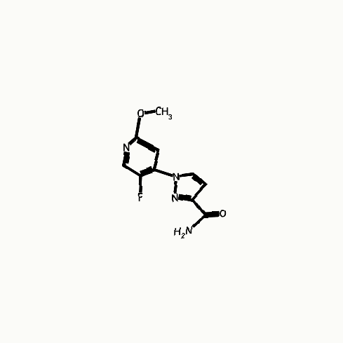 COc1cc(-n2ccc(C(N)=O)n2)c(F)cn1